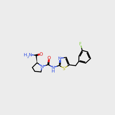 NC(=O)[C@@H]1CCCN1C(=O)Nc1ncc(Cc2cccc(F)c2)s1